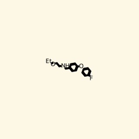 CCOCCNCc1ccc(Oc2ccc(F)cc2)cc1